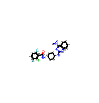 CN(C)c1nc(N[C@H]2CC[C@@H](NC(=O)c3c(F)ccc(F)c3Cl)CC2)nc2ccccc12